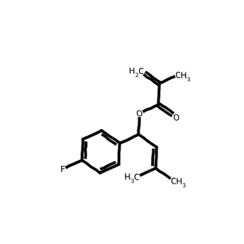 C=C(C)C(=O)OC(C=C(C)C)c1ccc(F)cc1